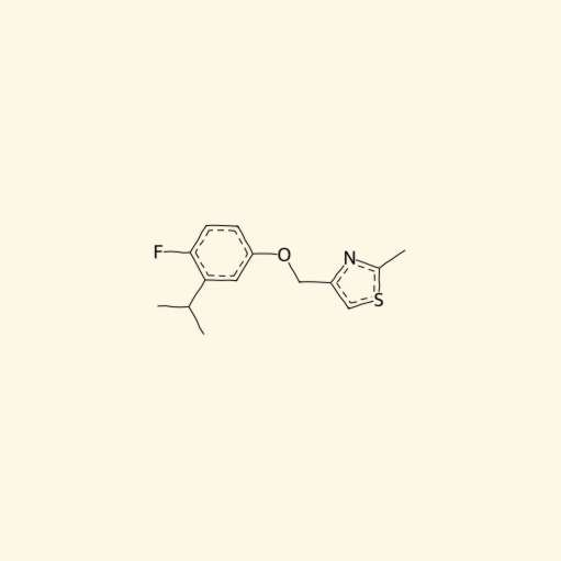 Cc1nc(COc2ccc(F)c(C(C)C)c2)cs1